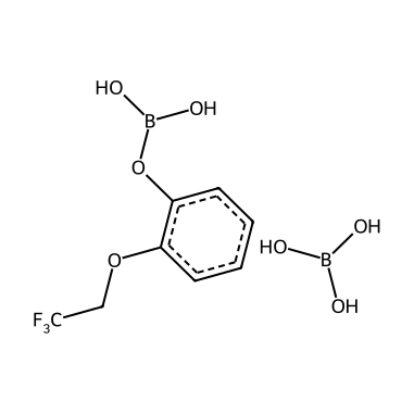 OB(O)O.OB(O)Oc1ccccc1OCC(F)(F)F